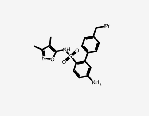 Cc1noc(NS(=O)(=O)c2ccc(N)cc2-c2ccc(CC(C)C)cc2)c1C